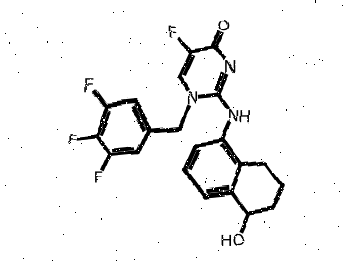 O=c1nc(Nc2cccc3c2CCCC3O)n(Cc2cc(F)c(F)c(F)c2)cc1F